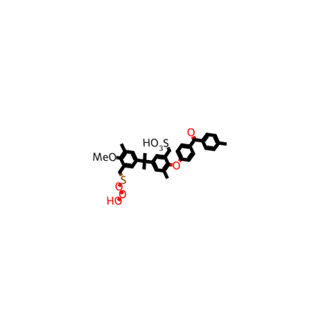 COc1c(C)cc(C(C)(C)c2cc(C)c(Oc3ccc(C(=O)c4ccc(C)cc4)cc3)c(CS(=O)(=O)O)c2)cc1CSOOO